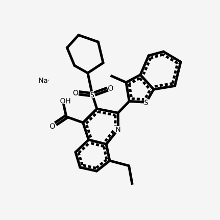 CCc1cccc2c(C(=O)O)c(S(=O)(=O)C3CCCCC3)c(-c3sc4ccccc4c3C)nc12.[Na]